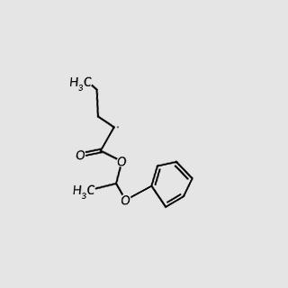 CCC[CH]C(=O)OC(C)Oc1ccccc1